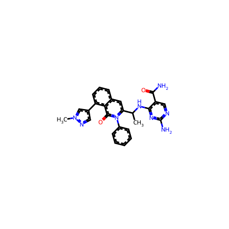 CC(Nc1nc(N)ncc1C(N)=O)c1cc2cccc(-c3cnn(C)c3)c2c(=O)n1-c1ccccc1